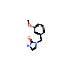 COc1cccc(Cn2cc[nH]c2=O)c1